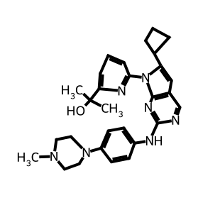 CN1CCN(c2ccc(Nc3ncc4cc(C5CCC5)n(-c5cccc(C(C)(C)O)n5)c4n3)cc2)CC1